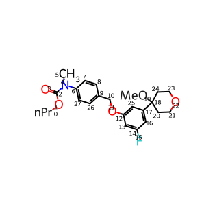 CCCOC(=O)N(C)c1ccc(COc2cc(F)cc(C3(OC)CCOCC3)c2)cc1